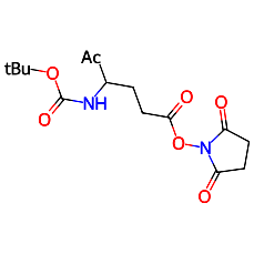 CC(=O)C(CCC(=O)ON1C(=O)CCC1=O)NC(=O)OC(C)(C)C